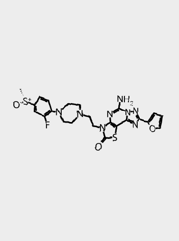 C[S@@+]([O-])c1ccc(N2CCN(CCn3c(=O)sc4c3nc(N)n3nc(-c5ccco5)nc43)CC2)c(F)c1